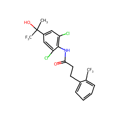 CC(O)(c1cc(Cl)c(NC(=O)CCc2ccccc2C(F)(F)F)c(Cl)c1)C(F)(F)F